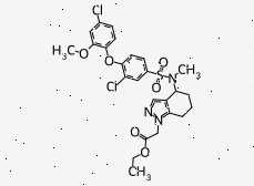 CCOC(=O)Cn1ncc2c1CCCC2N(C)S(=O)(=O)c1ccc(Oc2ccc(Cl)cc2OC)c(Cl)c1